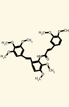 COc1ccc(/C=C/C(=O)Nc2c(C=Cc3cc(OC)c(OC)c(OC)c3)ccc(OC)c2OC)cc1OC